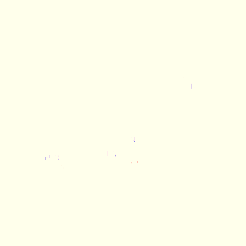 NSc1ccc(CNC(=O)N2CC3(CCCC3)c3cc(-c4cccc(N5CCCC5)c4)ccc32)cc1